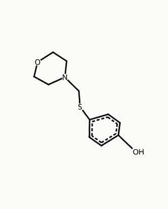 Oc1ccc(SCN2CCOCC2)cc1